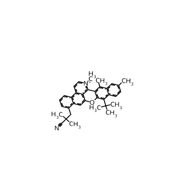 Cc1ccc2c(C(C)(C)C)c3c(c(C)c2c1)-c1c2c(cc4c(CC(C)(C)C#N)cccc4c2cc[n+]1C)O3